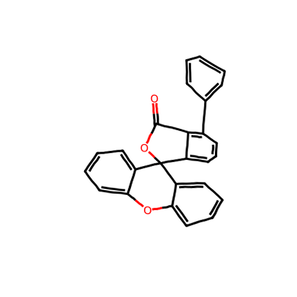 O=C1OC2(c3ccccc3Oc3ccccc32)c2cccc(-c3ccccc3)c21